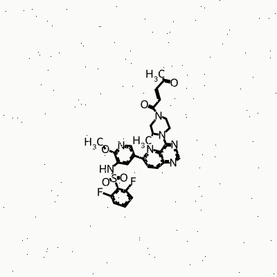 COc1ncc(-c2ccc3ncnc(N4CCN(C(=O)C=CC(C)=O)CC4C)c3n2)cc1NS(=O)(=O)c1c(F)cccc1F